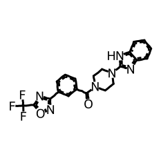 O=C(c1cccc(-c2noc(C(F)(F)F)n2)c1)N1CCN(c2nc3ccccc3[nH]2)CC1